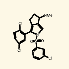 CNC1CCc2c1cn(S(=O)(=O)c1cccc(Cl)c1)c2-c1cc(Cl)ccc1Cl